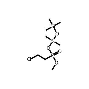 COP(=O)(CCCl)O[Si](C)(C)O[Si](C)(C)C